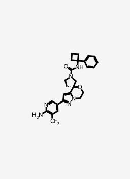 Nc1ncc(-c2cc3n(n2)CCO[C@@]32CCN(C(=O)NC3(c4ccccc4)CCC3)C2)cc1C(F)(F)F